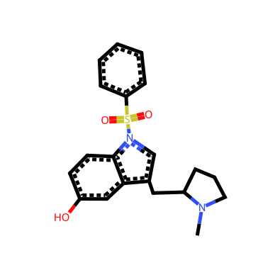 CN1CCCC1Cc1cn(S(=O)(=O)c2ccccc2)c2ccc(O)cc12